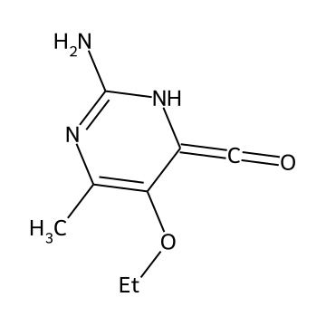 CCOC1=C(C)N=C(N)NC1=C=O